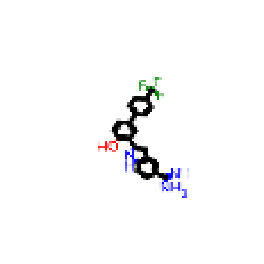 N=C(N)c1ccc2[nH]c(-c3cc(-c4ccc(C(F)(F)F)cc4)ccc3O)cc2c1